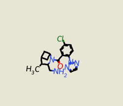 CC1C2CC(C2)N(C(=O)c2cc(Cl)ccc2-n2nccn2)C1CN